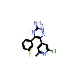 Cc1cc(-c2nnc(N)nc2-c2cccc(F)c2)cc(Cl)n1